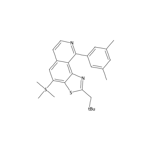 Cc1cc(C)cc(-c2nccc3cc(S(C)(C)C)c4sc(CC(C)(C)C)nc4c23)c1